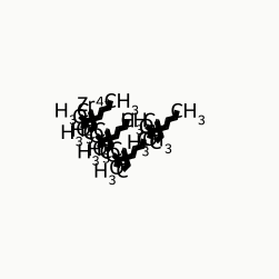 CCCCC(CC)(CC)C(=O)[O-].CCCCC(CC)(CC)C(=O)[O-].CCCCC(CC)(CC)C(=O)[O-].CCCCC(CC)(CC)C(=O)[O-].[Zr+4]